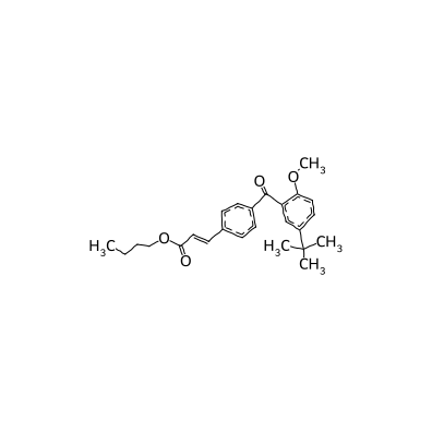 CCCCOC(=O)/C=C/c1ccc(C(=O)c2cc(C(C)(C)C)ccc2OC)cc1